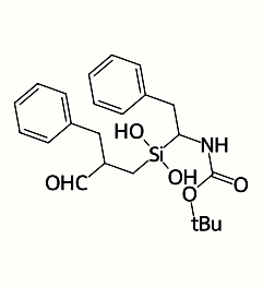 CC(C)(C)OC(=O)NC(Cc1ccccc1)[Si](O)(O)CC(C=O)Cc1ccccc1